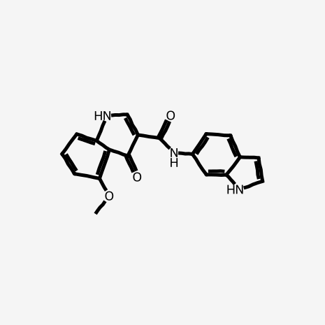 COc1cccc2[nH]cc(C(=O)Nc3ccc4cc[nH]c4c3)c(=O)c12